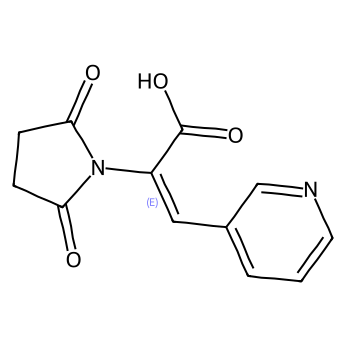 O=C(O)/C(=C\c1cccnc1)N1C(=O)CCC1=O